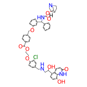 O=C(NC(c1ccccc1)c1cccc(OCc2ccc(C(=O)OCCOc3ccc(CNC[C@@H](O)c4ccc(O)c5[nH]c(=O)ccc45)cc3Cl)cc2)c1)O[C@H]1CN2CCC1CC2